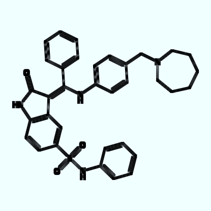 O=C1Nc2ccc(S(=O)(=O)Nc3ccccc3)cc2C1=C(Nc1ccc(CN2CCCCCC2)cc1)c1ccccc1